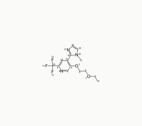 CCOCCOc1cnc(C(F)(F)F)cc1-c1nccn1C